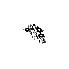 COc1cc(-c2c(F)ccc(N(C)CC(=O)Nc3ccc(F)cc3)c2N(C)C=O)cc(F)c1OCc1nnc[nH]1